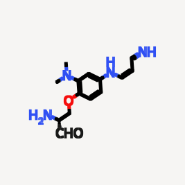 CN(C)c1cc(N/C=C\C=N)ccc1OC[C@H](N)C=O